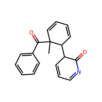 CC1(C(=O)c2ccccc2)C=CC=CC1C1C=CC=NC1=O